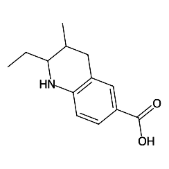 CCC1Nc2ccc(C(=O)O)cc2CC1C